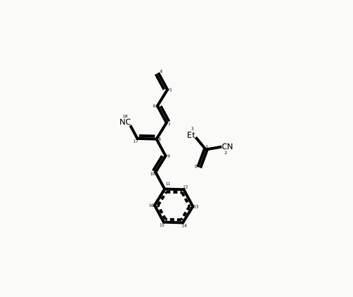 C=C(C#N)CC.C=CC=CC(C=Cc1ccccc1)=CC#N